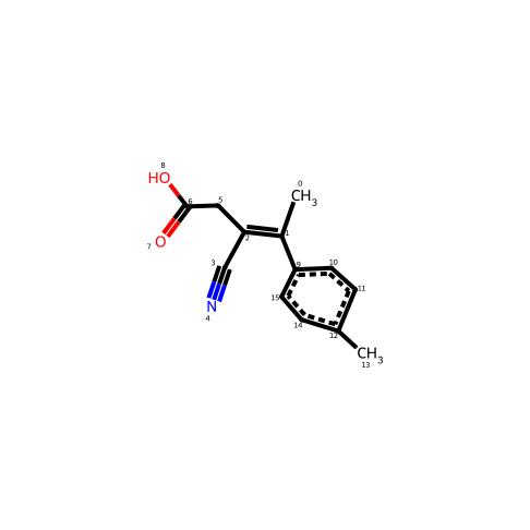 CC(=C(C#N)CC(=O)O)c1ccc(C)cc1